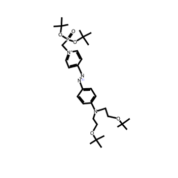 CC(C)(C)OCCN(CCOC(C)(C)C)c1ccc(/N=N/c2cc[n+](CP(=O)(OC(C)(C)C)OC(C)(C)C)cc2)cc1